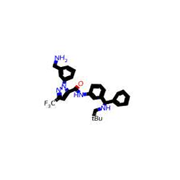 CC(C)(C)CNC(c1ccccc1)c1cccc(NC(=O)c2cc(C(F)(F)F)nn2-c2cccc(CN)c2)c1